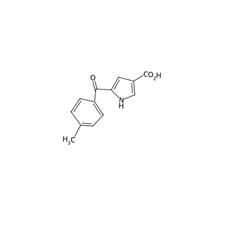 Cc1ccc(C(=O)c2cc(C(=O)O)c[nH]2)cc1